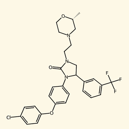 C[C@@H]1CN(CCN2CC(c3cccc(C(F)(F)F)c3)N(c3ccc(Oc4ccc(Cl)cc4)cc3)C2=O)CCO1